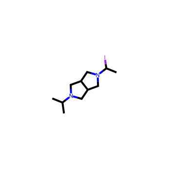 CC(C)N1CC2CN(C(C)I)CC2C1